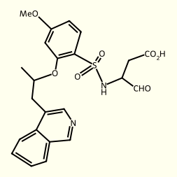 COc1ccc(S(=O)(=O)NC(C=O)CC(=O)O)c(OC(C)Cc2cncc3ccccc23)c1